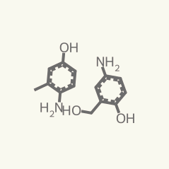 Cc1cc(O)ccc1N.Nc1ccc(O)c(CO)c1